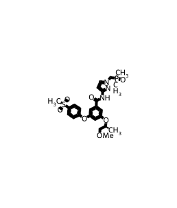 COC[C@H](C)Oc1cc(Oc2ccc(S(C)(=O)=O)cc2)cc(C(=O)Nc2ccn(CP(C)(C)=O)n2)c1